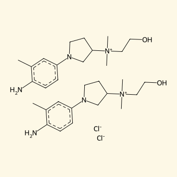 Cc1cc(N2CCC([N+](C)(C)CCO)C2)ccc1N.Cc1cc(N2CCC([N+](C)(C)CCO)C2)ccc1N.[Cl-].[Cl-]